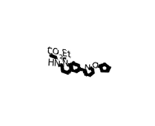 CCOC(=O)CCNC1CCc2cc(-c3cccc(OC4CCCC4)n3)ccc2N1C